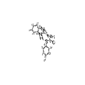 Cc1ccc(SC(=O)Nc2nc3ccccc3[nH]2)cc1